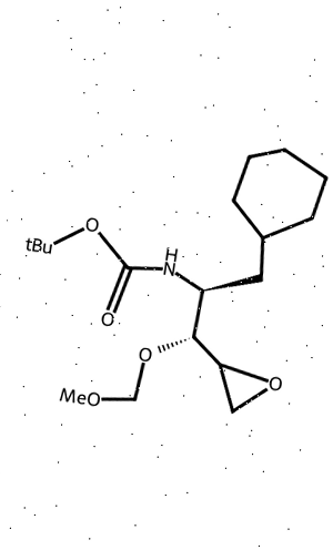 COCO[C@@H](C1CO1)[C@H](CC1CCCCC1)NC(=O)OC(C)(C)C